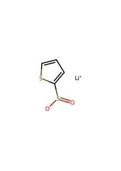 O=S([O-])c1cccs1.[Li+]